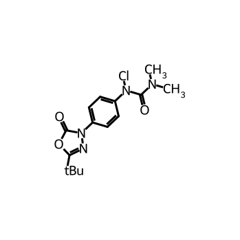 CN(C)C(=O)N(Cl)c1ccc(-n2nc(C(C)(C)C)oc2=O)cc1